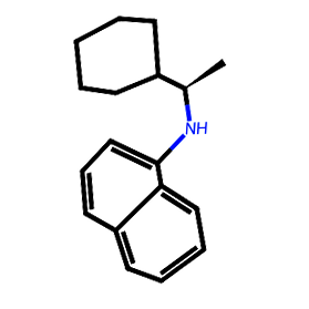 C[C@@H](Nc1cccc2ccccc12)C1CCCCC1